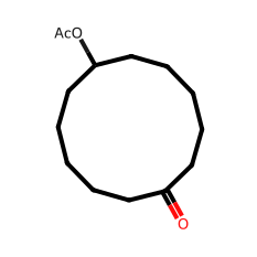 CC(=O)OC1CCCCCC(=O)CCCCC1